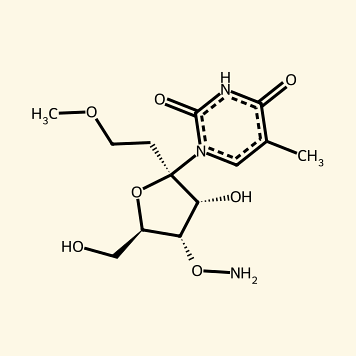 COCC[C@@]1(n2cc(C)c(=O)[nH]c2=O)O[C@H](CO)[C@@H](ON)[C@H]1O